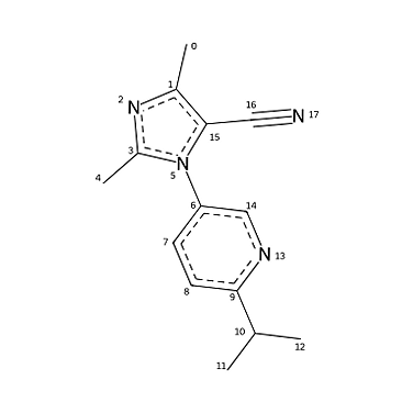 Cc1nc(C)n(-c2ccc(C(C)C)nc2)c1C#N